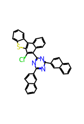 Clc1c(-c2nc(-c3ccc4ccccc4c3)nc(-c3ccc4ccccc4c3)n2)c2ccccc2c2c1sc1ccccc12